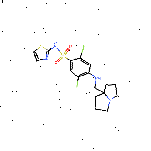 O=S(=O)(Nc1nccs1)c1cc(F)c(NCC23CCCN2CCC3)cc1F